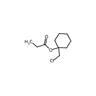 CCC(=O)OC1(CCl)CCCCC1